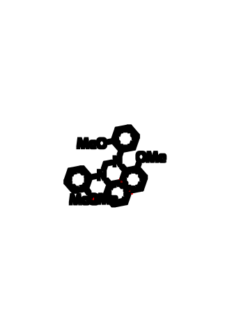 COc1ccccc1N(CN(c1ccccc1OC)c1ccccc1OC)c1ccccc1OC